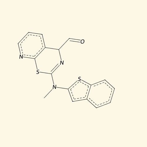 CN(C1=NC(C=O)c2cccnc2S1)c1cc2ccccc2s1